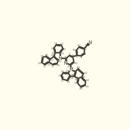 N#Cc1ccc(-c2cc(-n3c4ccccc4c4c5ccccc5ccc43)nc(-n3c4ccccc4c4c5ccccc5ccc43)c2)cc1